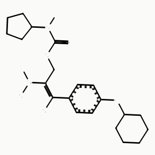 CN(N)/C(CNC(=O)N(C)C1CCCC1)=C(\N)c1ccc(OC2CCCCC2)cc1